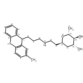 Cc1ccc2c(c1)N(CCCNCC[C@@H]1C[C@@H](O)[C@H](O)[C@@H](C)O1)c1ccccc1S2